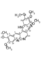 COc1cc2cc3c(Nc4cc(OC)c(OC)c(OC)c4)c(C#N)cnc3nc2cc1OC